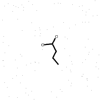 CCC[C](Cl)Cl